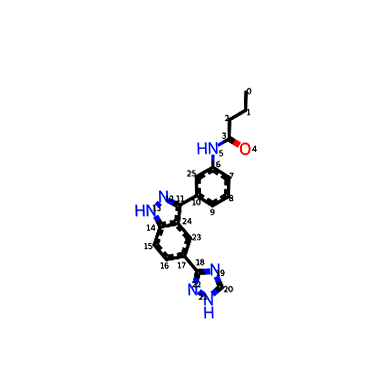 CCCC(=O)Nc1cccc(-c2n[nH]c3ccc(-c4nc[nH]n4)cc23)c1